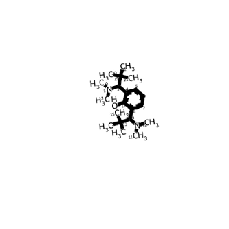 CN(C)C(c1cccc(C(N(C)C)C(C)(C)C)c1O)C(C)(C)C